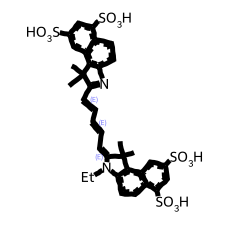 CCN1/C(=C/C=C/C=C/C2=Nc3ccc4c(S(=O)(=O)O)cc(S(=O)(=O)O)cc4c3C2(C)C)C(C)(C)c2c1ccc1c(S(=O)(=O)O)cc(S(=O)(=O)O)cc21